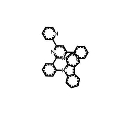 c1ccc(-c2cc(-c3ccccn3)nc(-c3ccccc3-n3c4ccccc4c4ccccc43)n2)nc1